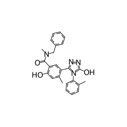 Cc1cc(O)c(C(=O)N(C)Cc2ccccc2)cc1-c1nnc(O)n1-c1ccccc1C